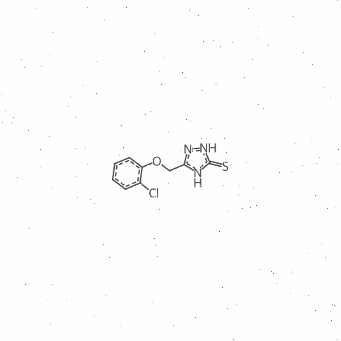 S=c1[nH]nc(COc2ccccc2Cl)[nH]1